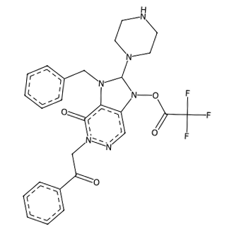 O=C(Cn1ncc2c(c1=O)N(Cc1ccccc1)C(N1CCNCC1)N2OC(=O)C(F)(F)F)c1ccccc1